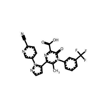 Cc1c(-c2ccnn2-c2ccc(C#N)nc2)nc(C(=O)O)c(=O)n1-c1cccc(C(F)(F)F)c1